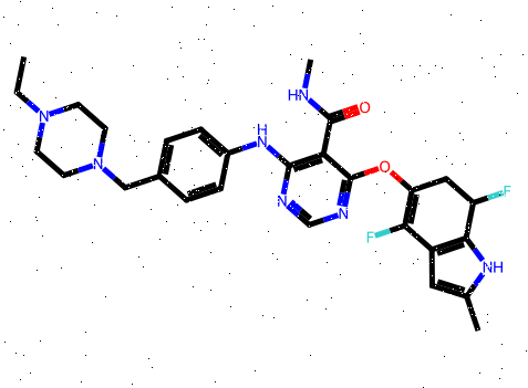 CCN1CCN(Cc2ccc(Nc3ncnc(OC4=C(F)c5cc(C)[nH]c5C(F)C4)c3C(=O)NC)cc2)CC1